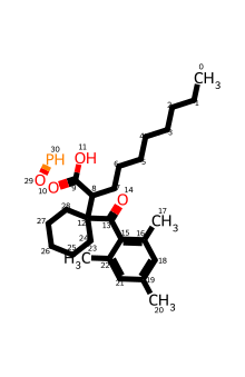 CCCCCCCCC(C(=O)O)C1(C(=O)c2c(C)cc(C)cc2C)CCCCC1.O=P